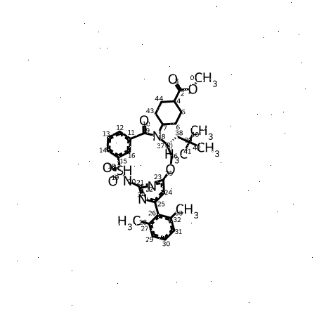 COC(=O)C1CCC(N2C(=O)c3cccc(c3)S(=O)(=O)Nc3nc(cc(-c4c(C)cccc4C)n3)OC[C@H]2CC(C)(C)C)CC1